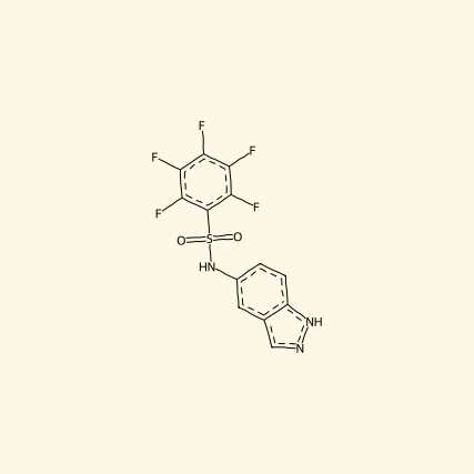 O=S(=O)(Nc1ccc2[nH]ncc2c1)c1c(F)c(F)c(F)c(F)c1F